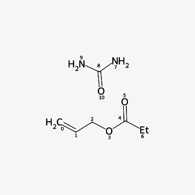 C=CCOC(=O)CC.NC(N)=O